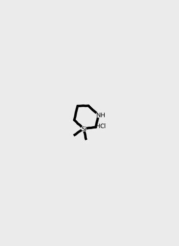 C[Si]1(C)CCCNC1.Cl